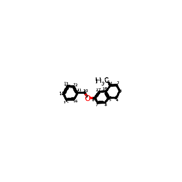 CC1CCCc2ccc(OCc3ccccc3)cc21